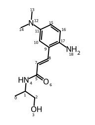 CC(CO)NC(=O)C=Cc1cc(N(C)C)ccc1N